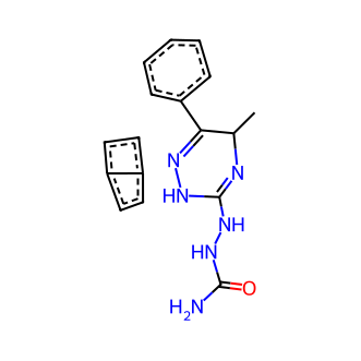 CC1N=C(NNC(N)=O)NN=C1c1ccccc1.c1cc2ccc1-2